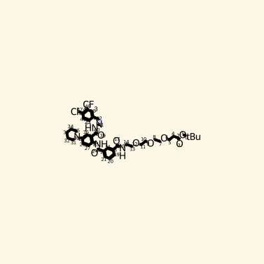 CC(C)(C)OC(=O)CCOCCOCCOCCNC(=O)c1cccc(C(=O)Nc2ccc(N3CCCCC3)cc2C(=O)N/N=C\c2ccc(Cl)c(C(F)(F)F)c2)c1